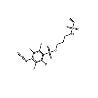 C=CS(=O)(=O)NCCCOS(=O)(=O)c1c(F)c(F)c(N=[N+]=[N-])c(F)c1F